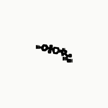 CCc1ccc(S(=O)(=O)N2CCN(c3ncc(C(=O)NO)s3)CC2)cc1